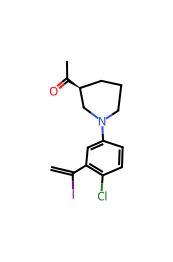 C=C(I)c1cc(N2CCC[C@H](C(C)=O)C2)ccc1Cl